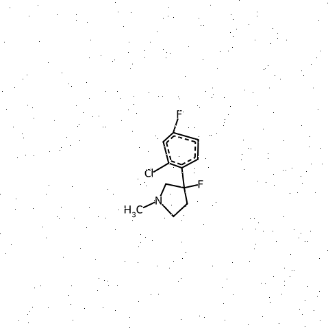 CN1CCC(F)(c2ccc(F)cc2Cl)C1